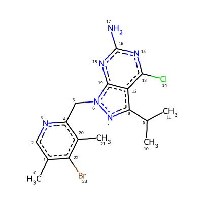 Cc1cnc(Cn2nc(C(C)C)c3c(Cl)nc(N)nc32)c(C)c1Br